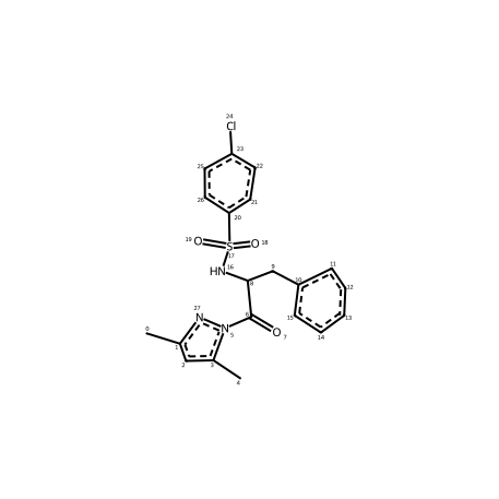 Cc1cc(C)n(C(=O)C(Cc2ccccc2)NS(=O)(=O)c2ccc(Cl)cc2)n1